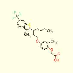 CCCCC(CCOc1ccc(OCC(=O)O)c(C)c1)c1sc2cc(C(F)(F)F)ccc2c1C